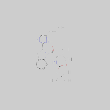 CCCc1cnc(C2Cc3ccccc3N2C(=O)C(NC(=O)OC(C)(C)C)C(C)C)[nH]1